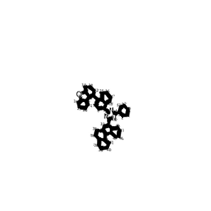 c1ccc(-c2nc(-c3ccc(-c4cccc5oc6ccccc6c45)c4ccccc34)nc(-c3cc4ccc5ccccc5c4c4ccccc34)n2)cc1